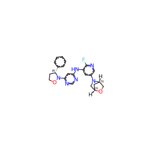 Fc1ncc(N2C[C@@H]3C[C@H]2CO3)cc1Nc1cc(N2OCC[C@@H]2c2ccccc2)ncn1